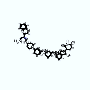 NC/C(=C\NC1CCN(c2cccc(NC3CCCC(Nc4cccc5c4CN(C4CCC(=O)NC4=O)C5=O)C3)c2)CC1)c1cnc2ccccc2n1